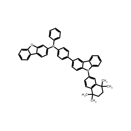 CC1(C)CCC(C)(C)c2cc(-n3c4ccccc4c4cc(-c5ccc(N(c6ccccc6)c6ccc7c(c6)oc6ccccc67)cc5)ccc43)ccc21